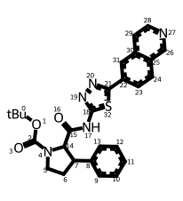 CC(C)(C)OC(=O)N1CCC(c2ccccc2)C1C(=O)Nc1nnc(-c2ccc3cnccc3c2)s1